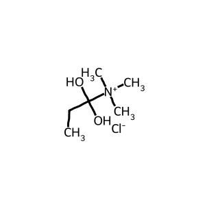 CCC(O)(O)[N+](C)(C)C.[Cl-]